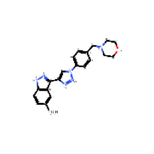 O=C(O)c1ccc2[nH]nc(-c3cn(-c4ccc(CN5CCOCC5)cc4)nn3)c2c1